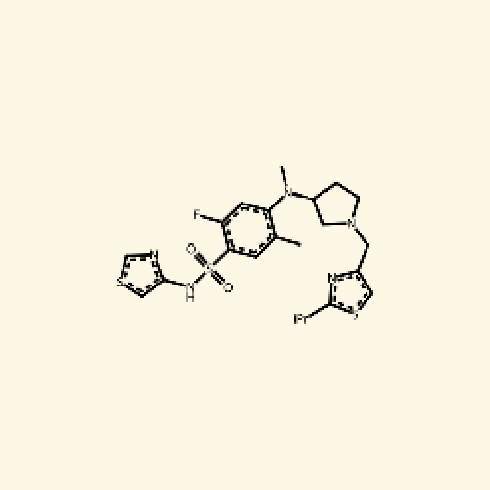 Cc1cc(S(=O)(=O)Nc2cscn2)c(F)cc1N(C)[C@H]1CCN(Cc2csc(C(C)C)n2)C1